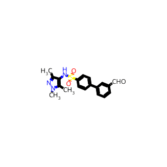 Cc1nn(C)c(C)c1NS(=O)(=O)c1ccc(-c2cccc(C=O)c2)cc1